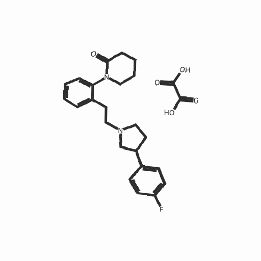 O=C(O)C(=O)O.O=C1CCCCN1c1ccccc1CCN1CCC(c2ccc(F)cc2)C1